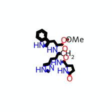 C=C(NC(Cc1c[nH]c2ccccc12)C(=O)OOC)C(Cc1c[nH]cn1)NC(=O)C1CCC(=O)N1